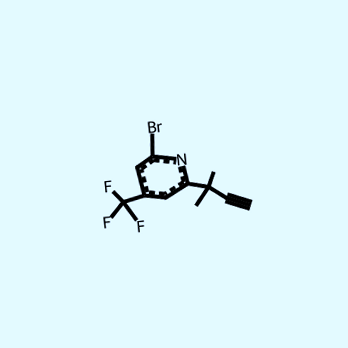 C#CC(C)(C)c1cc(C(F)(F)F)cc(Br)n1